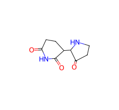 O=C1CCC(C2NCCC2=O)C(=O)N1